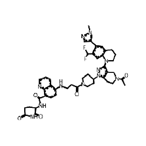 CC(=O)N1CCc2c(c(N3CCCc4cc(-c5cnn(C)c5)c(C(F)F)cc43)nn2C2CCN(C(=O)CCNc3ccc(C(=O)NC4CCC(=O)NC4=O)c4ncccc34)CC2)C1